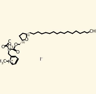 CCCCCCCCCCCCCCCCC[C@H]1CC[C@@H](COC(=O)N(Cc2cccc[n+]2C)C(C)=O)O1.[I-]